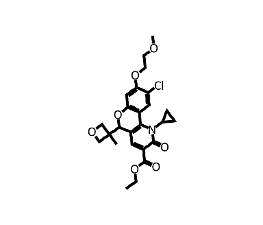 CCOC(=O)c1cc2c(n(C3CC3)c1=O)-c1cc(Cl)c(OCCOC)cc1OC2C1(C)COC1